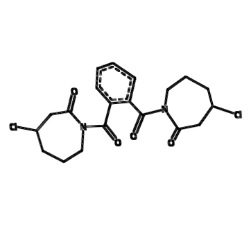 O=C1CC(Cl)CCCN1C(=O)c1ccccc1C(=O)N1CCCC(Cl)CC1=O